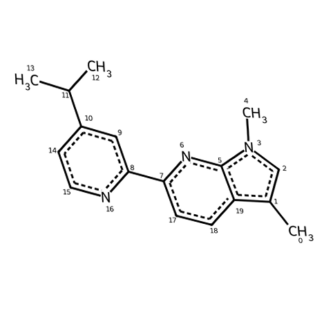 Cc1cn(C)c2nc(-c3cc(C(C)C)ccn3)ccc12